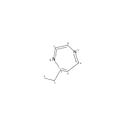 CCC1=CC=NC=C=N1